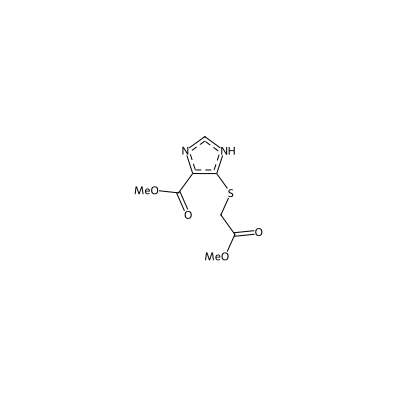 COC(=O)CSc1[nH]cnc1C(=O)OC